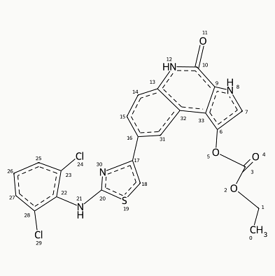 CCOC(=O)Oc1c[nH]c2c(=O)[nH]c3ccc(-c4csc(Nc5c(Cl)cccc5Cl)n4)cc3c12